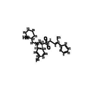 O=S(=O)(CC=C(F)c1ccccc1)c1cn(CC2CCCCN2)c2cc(F)ccc12